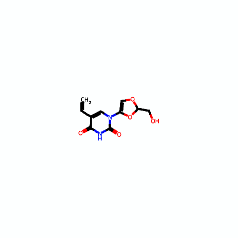 C=Cc1cn(C2=COC(CO)O2)c(=O)[nH]c1=O